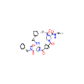 CCCCCCNC(=O)C1CN(C(=O)c2ccc(C(=O)N3C[C@@H](C(=O)N[C@H]4C[C@@H]4c4ccccc4)[C@H](C(=O)N[C@H]4C[C@@H]4c4ccccc4)C3)cc2)CCN1C(=O)CCC